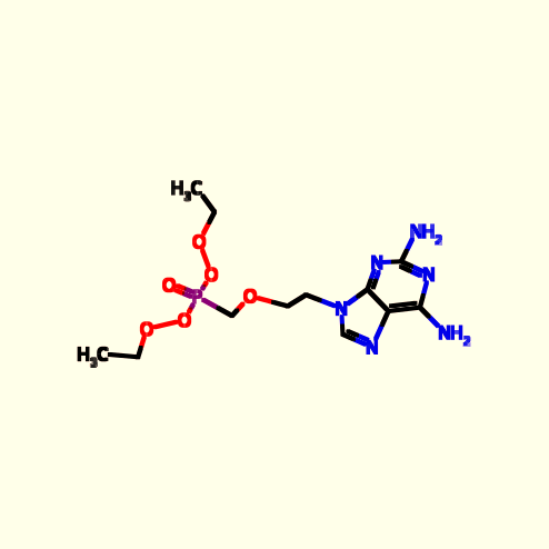 CCOOP(=O)(COCCn1cnc2c(N)nc(N)nc21)OOCC